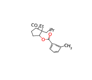 CCOC(=O)C1(CC(C)C)CCCC1OC(=O)c1cccc(C)c1